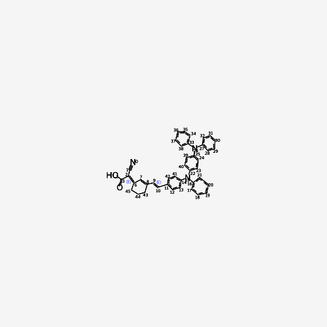 N#C/C(C(=O)O)=C1C=C(/C=C/c2ccc(N(c3ccccc3)c3ccc(N(c4ccccc4)c4ccccc4)cc3)cc2)CCC\1